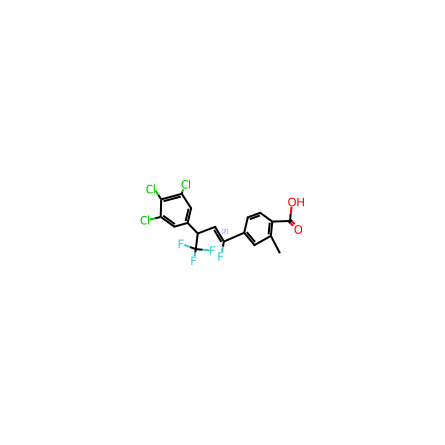 Cc1cc(/C(F)=C/C(c2cc(Cl)c(Cl)c(Cl)c2)C(F)(F)F)ccc1C(=O)O